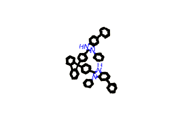 c1ccc(-c2ccc3c(c2)N(c2ccccc2)C(c2ccc(C4(c5ccc(C6Nc7ccc(-c8ccccc8)cc7N6c6ccccc6)cc5)c5ccccc5-c5ccccc54)cc2)N3)cc1